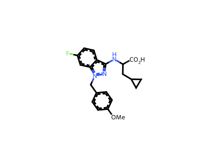 COc1ccc(Cn2nc(NC(CC3CC3)C(=O)O)c3ccc(F)cc32)cc1